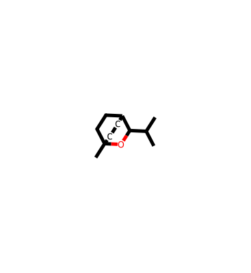 CC(C)C1OC2(C)CCC1CC2